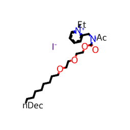 CCCCCCCCCCCCCCCCCCOCCOCCOC(=O)N(Cc1cccc[n+]1CC)C(C)=O.[I-]